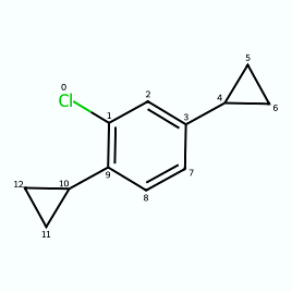 Clc1cc(C2CC2)ccc1C1CC1